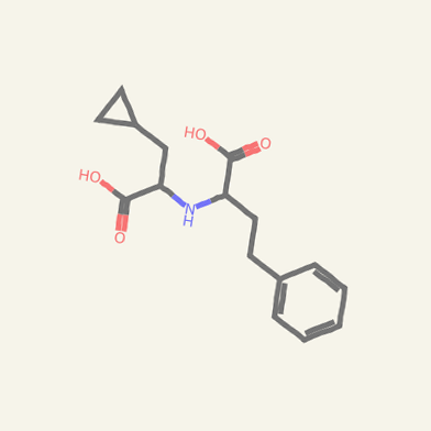 O=C(O)C(CCc1ccccc1)NC(CC1CC1)C(=O)O